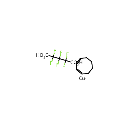 C1=CCCCCC=C1.O=C(O)C(F)(F)C(F)(F)C(F)(F)C(=O)O.[Cu]